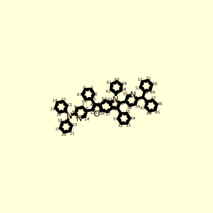 c1ccc(-c2c(-c3ccc(N(c4ccccc4)c4ccccc4)nc3)oc3cc4c(-c5ccccc5)c(-c5ccc(C(c6ccccc6)c6ccccc6)nc5)n(-c5ccccc5)c4cc23)cc1